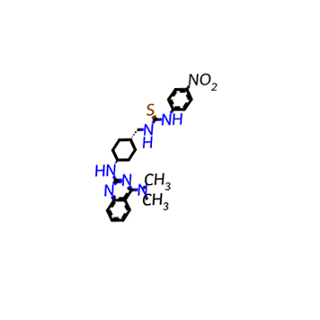 CN(C)c1nc(N[C@H]2CC[C@@H](CNC(=S)Nc3ccc([N+](=O)[O-])cc3)CC2)nc2ccccc12